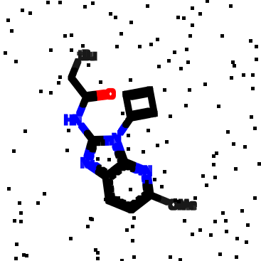 COc1ccc2nc(NC(=O)CC(C)(C)C)n(C3=CC=C3)c2n1